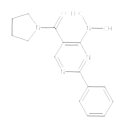 CN(C)c1nc(-c2ccccc2)ncc1C(=O)N1CCCC1